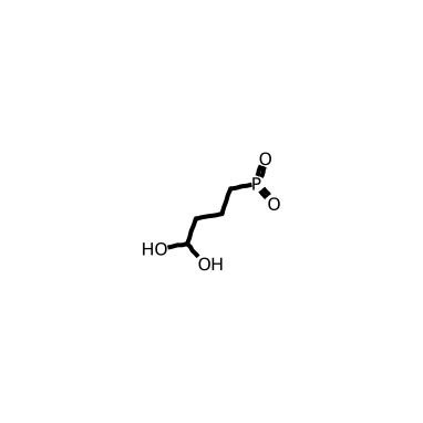 O=P(=O)CCCC(O)O